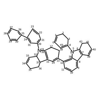 C1=CCCC(n2c3c(c4cccc(C5=CC6=C(CC5)N(c5cccc(-c7ccccc7)c5)C5C=CCCC65)c42)C=CCC3)=C1